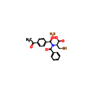 CC(=O)c1ccc(C(=O)N(C(=O)c2ccccc2)C(CS)C(=O)O)cc1.S